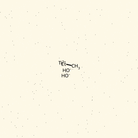 CCC.[OH-].[OH-].[Ti+2]